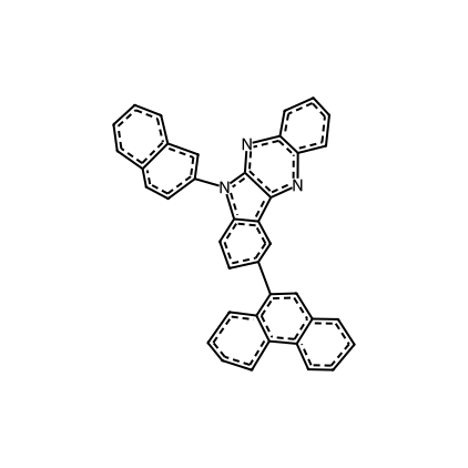 c1ccc2cc(-n3c4ccc(-c5cc6ccccc6c6ccccc56)cc4c4nc5ccccc5nc43)ccc2c1